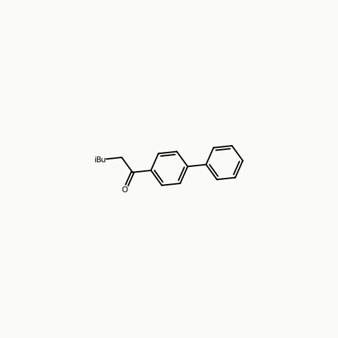 CCC(C)CC(=O)c1ccc(-c2ccccc2)cc1